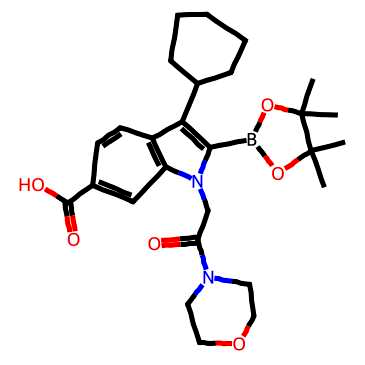 CC1(C)OB(c2c(C3CCCCC3)c3ccc(C(=O)O)cc3n2CC(=O)N2CCOCC2)OC1(C)C